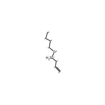 C=CC[SiH2]OCCCC